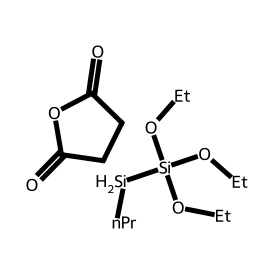 CCC[SiH2][Si](OCC)(OCC)OCC.O=C1CCC(=O)O1